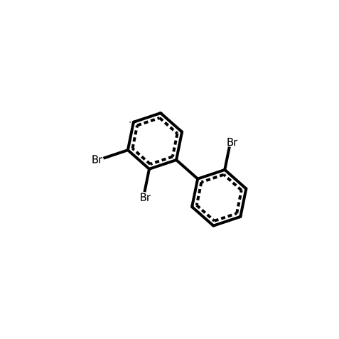 Brc1[c]ccc(-c2ccccc2Br)c1Br